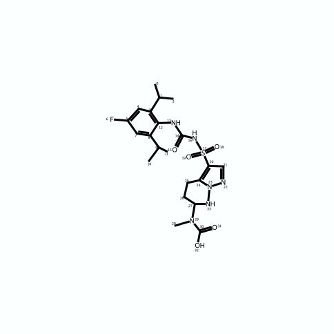 CC(C)c1cc(F)cc(C(C)C)c1NC(=O)NS(=O)(=O)c1cnn2c1CCC(N(C)C(=O)O)N2